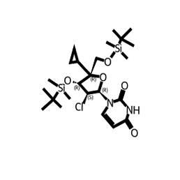 CC(C)(C)[Si](C)(C)OC[C@@]1(C2CC2)O[C@@H](n2ccc(=O)[nH]c2=O)[C@@H](Cl)[C@@H]1O[Si](C)(C)C(C)(C)C